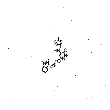 Cc1nnc(CNc2cc(OC[C@H]3C[C@@H]3c3nn(C)c4ccccc34)nn(C)c2=O)s1